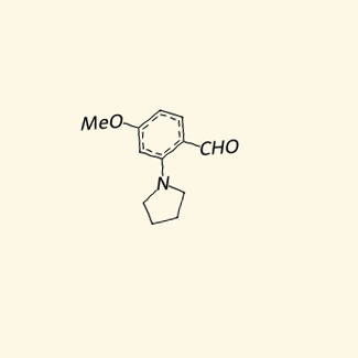 COc1ccc(C=O)c(N2CCCC2)c1